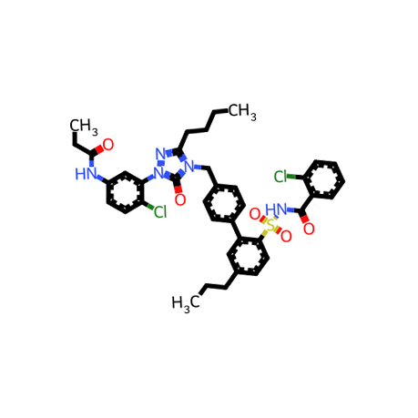 CCCCc1nn(-c2cc(NC(=O)CC)ccc2Cl)c(=O)n1Cc1ccc(-c2cc(CCC)ccc2S(=O)(=O)NC(=O)c2ccccc2Cl)cc1